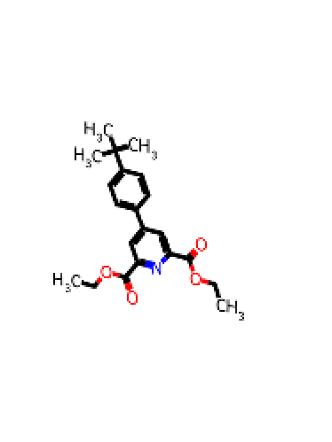 CCOC(=O)c1cc(-c2ccc(C(C)(C)C)cc2)cc(C(=O)OCC)n1